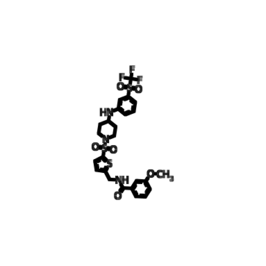 COc1cccc(C(=O)NCc2ccc(S(=O)(=O)N3CCC(Nc4cccc(S(=O)(=O)C(F)(F)F)c4)CC3)s2)c1